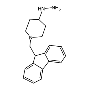 NNC1CCN(CC2c3ccccc3-c3ccccc32)CC1